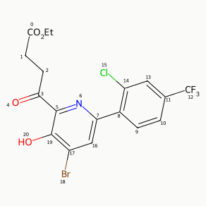 CCOC(=O)CCC(=O)c1nc(-c2ccc(C(F)(F)F)cc2Cl)cc(Br)c1O